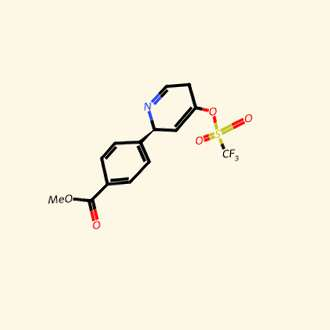 COC(=O)c1ccc([C@@H]2C=C(OS(=O)(=O)C(F)(F)F)CC=N2)cc1